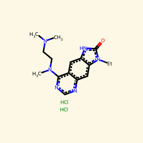 CCn1c(=O)[nH]c2cc3c(N(C)CCN(C)C)ncnc3cc21.Cl.Cl